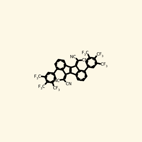 N#CC(C#N)=C1C2=C(C(=C(C#N)C#N)c3c2cccc3-c2cc(C(F)(F)F)c(C(F)(F)F)c(C(F)(F)F)c2)c2cccc(-c3cc(C(F)(F)F)c(C(F)(F)F)c(C(F)(F)F)c3)c21